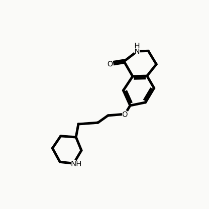 O=C1NCCc2ccc(OCCCC3CCCNC3)cc21